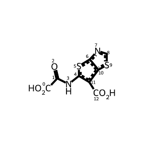 O=C(O)C(=O)Nc1sc2ncsc2c1C(=O)O